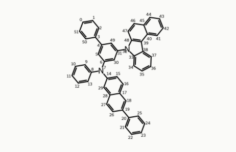 c1ccc(-c2cc(N(c3ccccc3)c3ccc4cc(-c5ccccc5)ccc4c3)cc(-n3c4ccccc4c4c5ccccc5ccc43)c2)cc1